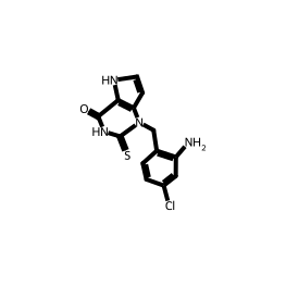 Nc1cc(Cl)ccc1Cn1c(=S)[nH]c(=O)c2[nH]ccc21